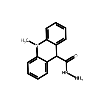 CN1c2ccccc2C(C(=O)NN)c2ccccc21